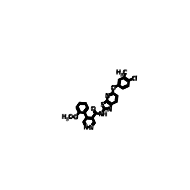 COc1ccccc1-c1cnncc1C(=O)Nc1nc2ccc(Oc3ccc(Cl)c(C)c3)nc2s1